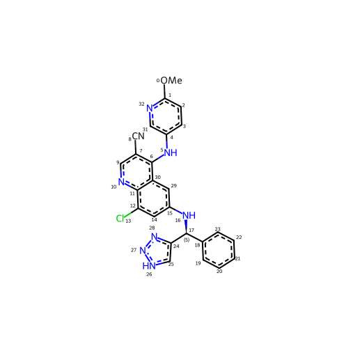 COc1ccc(Nc2c(C#N)cnc3c(Cl)cc(N[C@@H](c4ccccc4)c4c[nH]nn4)cc23)cn1